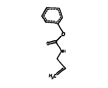 C=CCNC(=O)Oc1ccccc1